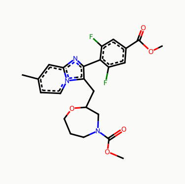 COC(=O)c1cc(F)c(-c2nc3cc(C)ccn3c2CC2CN(C(=O)OC)CCCO2)c(F)c1